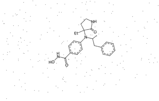 CCC1(N(c2ccc(C(=O)NO)cc2)C(C)Cc2ccccc2)CCNC1=O